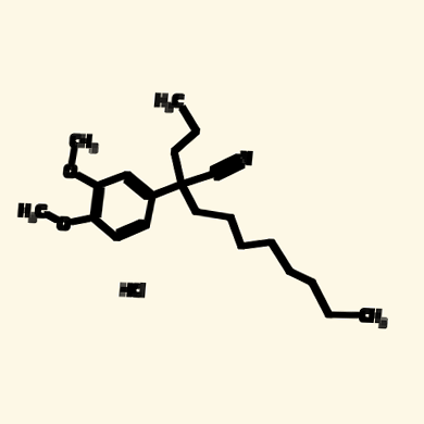 CCCCCCCCC(C#N)(CCC)c1ccc(OC)c(OC)c1.Cl